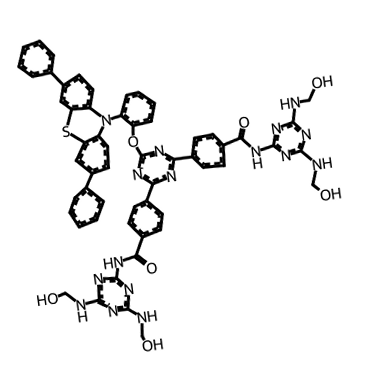 O=C(Nc1nc(NCO)nc(NCO)n1)c1ccc(-c2nc(Oc3ccccc3N3c4ccc(-c5ccccc5)cc4Sc4cc(-c5ccccc5)ccc43)nc(-c3ccc(C(=O)Nc4nc(NCO)nc(NCO)n4)cc3)n2)cc1